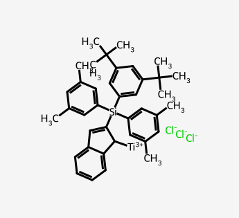 Cc1cc(C)cc([Si](C2=Cc3ccccc3[CH]2[Ti+3])(c2cc(C)cc(C)c2)c2cc(C(C)(C)C)cc(C(C)(C)C)c2)c1.[Cl-].[Cl-].[Cl-]